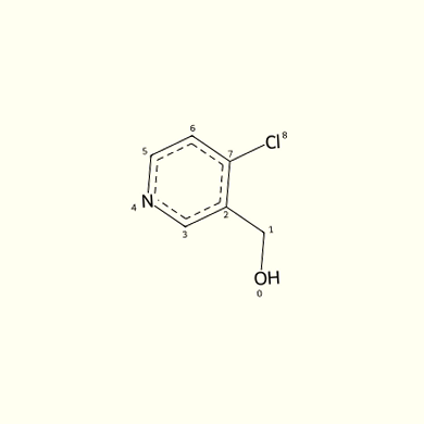 OCc1cnccc1Cl